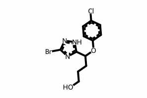 OCCCC(Oc1ccc(Cl)cc1)c1nc(Br)n[nH]1